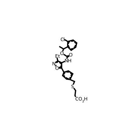 CCc1noc(-c2ccc(CSCCC(=O)O)cc2)c1NC(=O)OC(C)c1ccccc1Cl